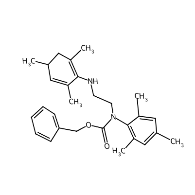 CC1=CC(C)CC(C)=C1NCCN(C(=O)OCc1ccccc1)c1c(C)cc(C)cc1C